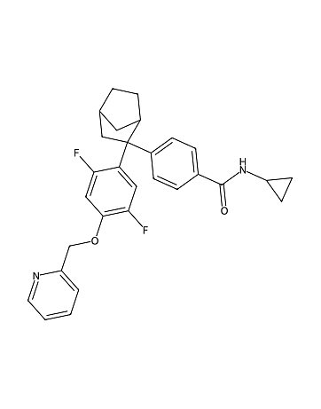 O=C(NC1CC1)c1ccc(C2(c3cc(F)c(OCc4ccccn4)cc3F)CC3CCC2C3)cc1